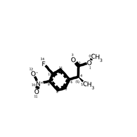 COC(=O)[C@@H](C)c1ccc([N+](=O)[O-])c(F)c1